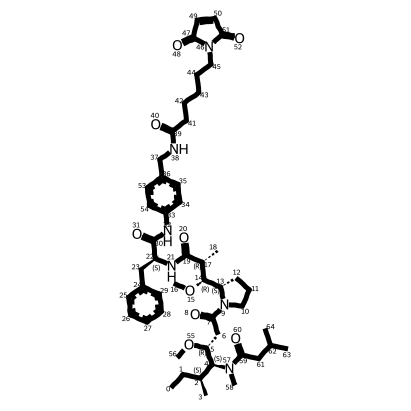 CC[C@H](C)[C@@H]([C@@H](CC(=O)N1CCC[C@H]1[C@H](OC)[C@@H](C)C(=O)N[C@@H](Cc1ccccc1)C(=O)Nc1ccc(CNC(=O)CCCCCN2C(=O)C=CC2=O)cc1)OC)N(C)C(=O)CC(C)C